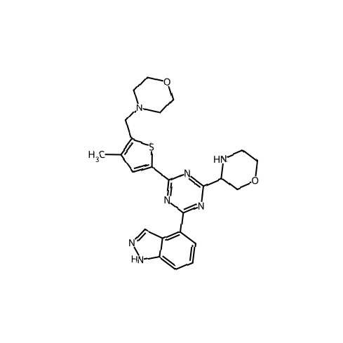 Cc1cc(-c2nc(-c3cccc4[nH]ncc34)nc(C3COCCN3)n2)sc1CN1CCOCC1